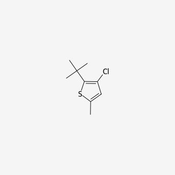 Cc1cc(Cl)c(C(C)(C)C)s1